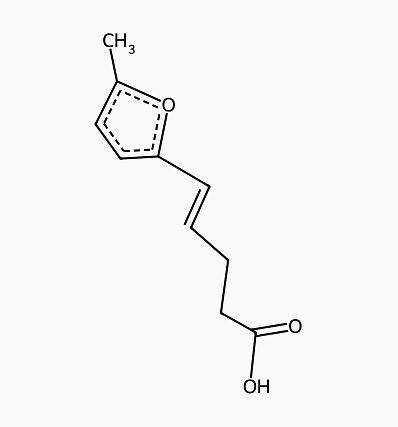 Cc1ccc(/C=C/CCC(=O)O)o1